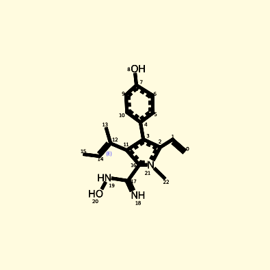 C=Cc1c(-c2ccc(O)cc2)c(/C(C)=C/C)c(C(=N)NO)n1C